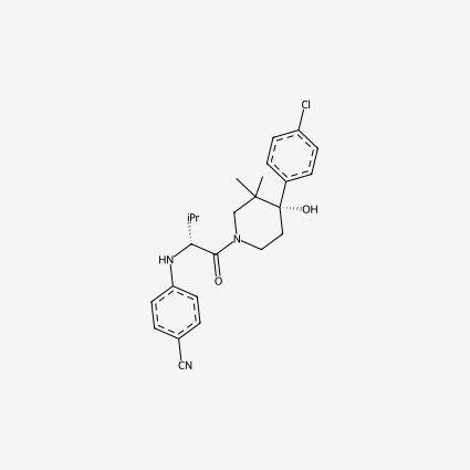 CC(C)[C@@H](Nc1ccc(C#N)cc1)C(=O)N1CC[C@](O)(c2ccc(Cl)cc2)C(C)(C)C1